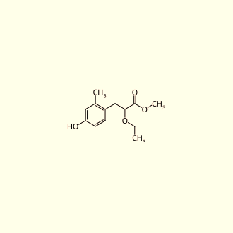 CCOC(Cc1ccc(O)cc1C)C(=O)OC